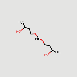 CC(O)CCOBOCCC(C)O